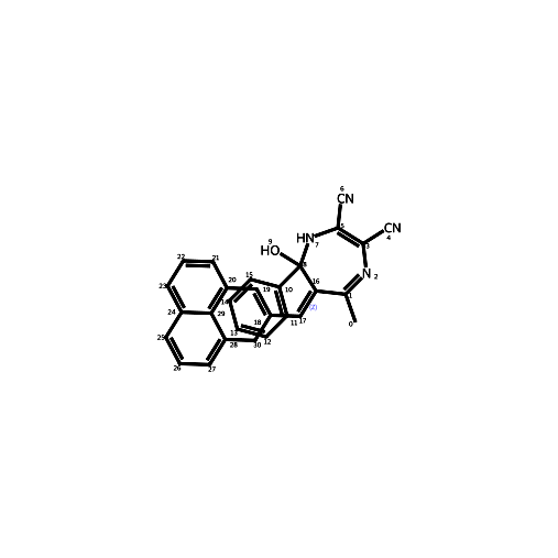 CC1=NC(C#N)=C(C#N)NC(O)(c2ccccc2)/C1=C\C1=Cc2cccc3cccc(c23)C1